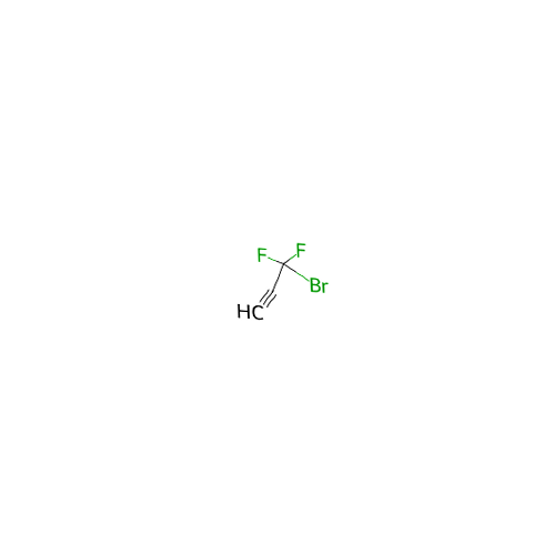 C#CC(F)(F)Br